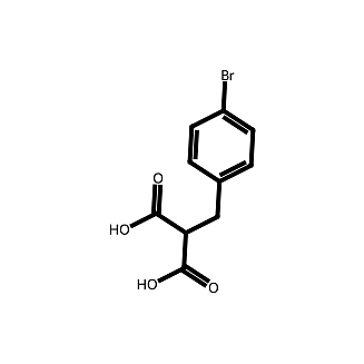 O=C(O)C(Cc1ccc(Br)cc1)C(=O)O